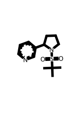 CC(C)(C)S(=O)(=O)N1CCCC1c1cccnc1